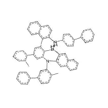 Cc1ccccc1-c1cc(-c2c(Nc3ccc(-c4ccccc4)cc3)ccc3ccccc23)c2c(c1)N(c1cc(-c3ccccc3)ccc1C)c1cc3ccccc3cc1B2